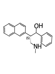 CNC[C@H](c1ccc2ccccc2c1)C(O)c1ccccc1